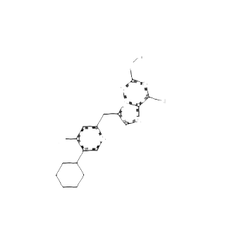 CCCCOc1nc(N)c2ncc(Cc3cc(C)c(C4CCCCC4)cn3)n2n1